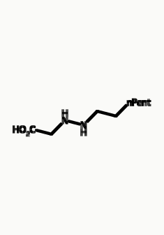 CCCCCCCNNCC(=O)O